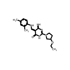 CCOC1CCN(C2=NC(=N)/C(=C\Nc3ccc(C)cc3C)C(=O)N2)C1